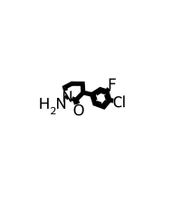 NN1CCCC(c2ccc(Cl)c(F)c2)C1=O